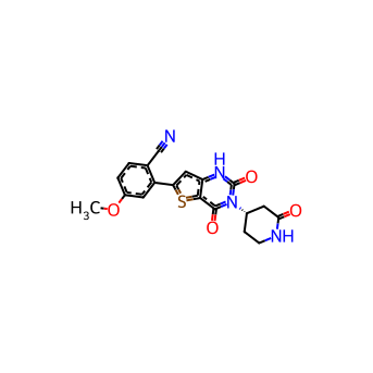 COc1ccc(C#N)c(-c2cc3[nH]c(=O)n([C@H]4CCNC(=O)C4)c(=O)c3s2)c1